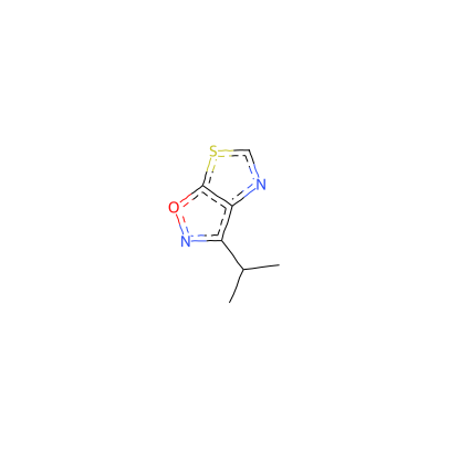 CC(C)c1noc2scnc12